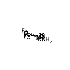 Cc1nc(N)c2nc(C)n(CCCCC[S+]([O-])c3ccc(F)cc3F)c2c1C